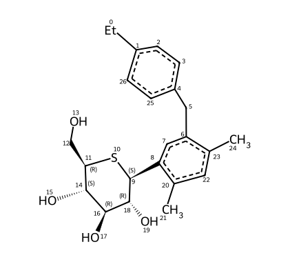 CCc1ccc(Cc2cc([C@@H]3S[C@H](CO)[C@@H](O)[C@H](O)[C@H]3O)c(C)cc2C)cc1